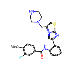 COc1ccc(C(=O)Nc2ccccc2-c2cn3c(CN4CCNCC4)csc3n2)cc1F